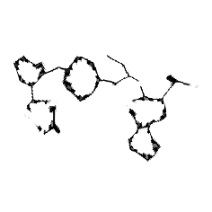 CCC(Cc1ccc(-c2ccccc2-c2nc(=O)s[nH]2)cc1)Nc1nc2ccccc2cc1C(=O)O